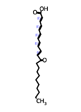 CCCCCCCCCCC(=O)/C=C/C=C/C=C/C=C/C=C/C(=O)O